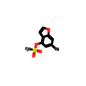 N#Cc1cc(OS(=O)(=O)C(F)(F)F)c2ccoc2c1